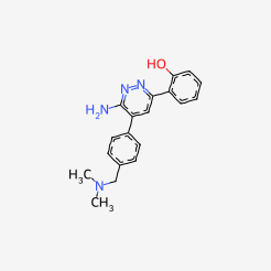 CN(C)Cc1ccc(-c2cc(-c3ccccc3O)nnc2N)cc1